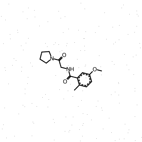 COc1ccc(C)c(C(=O)NCC(=O)N2CCCC2)c1